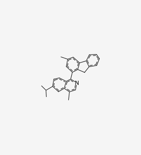 Cc1cc2c(c(-c3ncc(C)c4cc(C(C)C)ccc34)c1)Cc1ccccc1-2